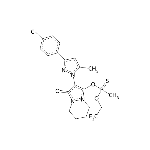 Cc1cc(-c2ccc(Cl)cc2)nn1-c1c(OP(C)(=S)OCC(F)(F)F)n2n(c1=O)CCCC2